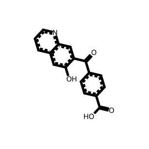 O=C(O)c1ccc(C(=O)c2cc3ncccc3cc2O)cc1